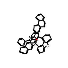 c1ccc(C2N=C(c3ccc4c(ccc5ccccc54)c3)N=C(c3cccc4oc5cccc(-c6cccc7c6oc6cc8ccccc8cc67)c5c34)N2)cc1